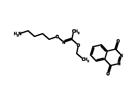 CCOC(C)=NOCCCCN.O=C1N=NC(=O)c2ccccc21